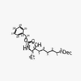 CCCCCCCCCCCCCCC[C@H](O)[C@H](CC)NC(=O)OCc1ccccc1